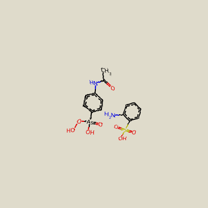 CC(=O)Nc1ccc([As](=O)(O)OO)cc1.Nc1ccccc1S(=O)(=O)O